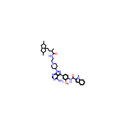 COc1cc(-c2nn(C3CCN(CCNC(=O)C(C)CCC45CC(C)CC4CC(C)C5)CC3)c3ncnc(N)c23)ccc1NC(=O)c1cc2ccccc2n1C